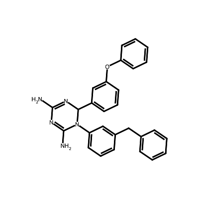 NC1=NC(c2cccc(Oc3ccccc3)c2)N(c2cccc(Cc3ccccc3)c2)C(N)=N1